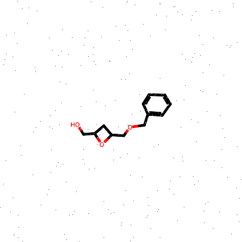 OCC1CC(COCc2ccccc2)O1